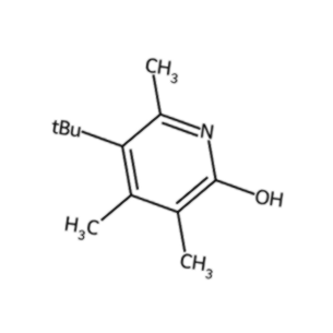 Cc1nc(O)c(C)c(C)c1C(C)(C)C